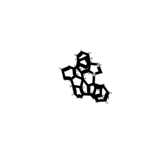 Oc1ccc2c(c1)-n1cnc3cccc(c31)C21c2c(-c3ccccc3)cccc2-c2cccc(-c3ccccc3)c21